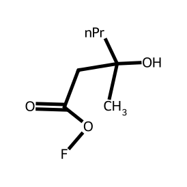 CCCC(C)(O)CC(=O)OF